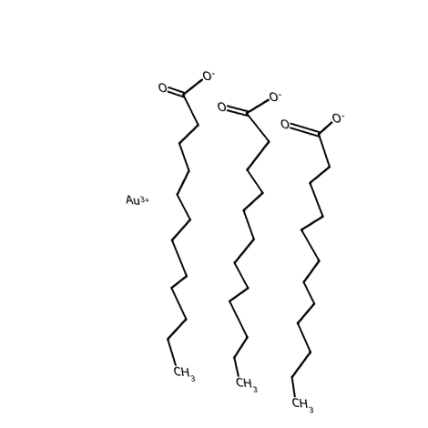 CCCCCCCCCCCC(=O)[O-].CCCCCCCCCCCC(=O)[O-].CCCCCCCCCCCC(=O)[O-].[Au+3]